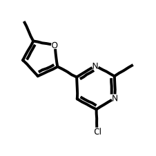 Cc1nc(Cl)cc(-c2ccc(C)o2)n1